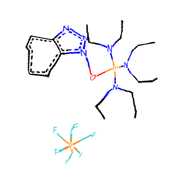 CCN(CC)[P+](On1nnc2ccccc21)(N(CC)CC)N(CC)CC.F[P-](F)(F)(F)(F)F